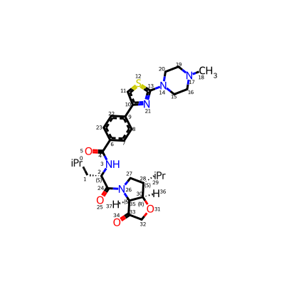 CC(C)C[C@H](NC(=O)c1ccc(-c2csc(N3CCN(C)CC3)n2)cc1)C(=O)N1C[C@H](C(C)C)[C@H]2OCC(=O)[C@H]21